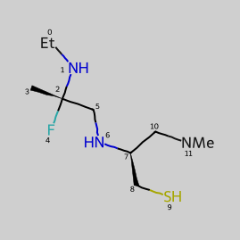 CCN[C@@](C)(F)CN[C@H](CS)CNC